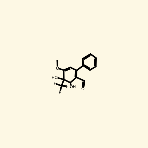 COC1=CC(c2ccccc2)=C(C=O)C(O)C1(O)C(F)(F)F